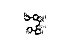 C=N/C=C(\C=C/C)c1ccc2[nH]nc(-c3cc4c(-c5cccnc5)ccnc4[nH]3)c2c1